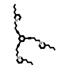 CCCCc1ccc[n+](CCCC#Cc2cc(C#CCCC[n+]3cccc(CCCC)c3)cc(C#CCCC[n+]3cccc(CCCC)c3)c2)c1